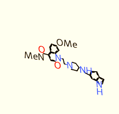 CNC(=O)c1cc(=O)n(CCN2CCC(NCc3ccc4cc[nH]c4c3)CC2)c2cc(OC)ccc12